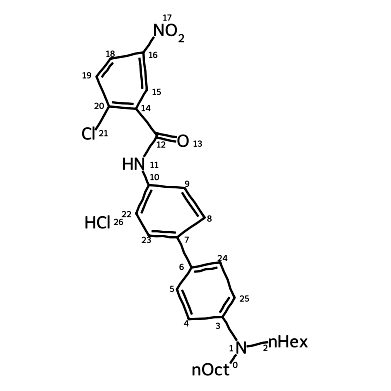 CCCCCCCCN(CCCCCC)c1ccc(-c2ccc(NC(=O)c3cc([N+](=O)[O-])ccc3Cl)cc2)cc1.Cl